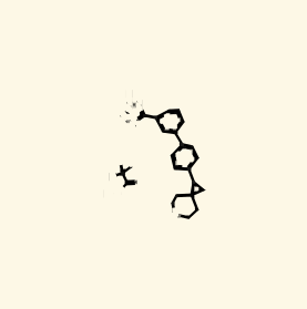 O=C(O)C(F)(F)F.c1cc(-c2ccc(C3CC34CCNCC4)cc2)cc(-c2nn[nH]n2)c1